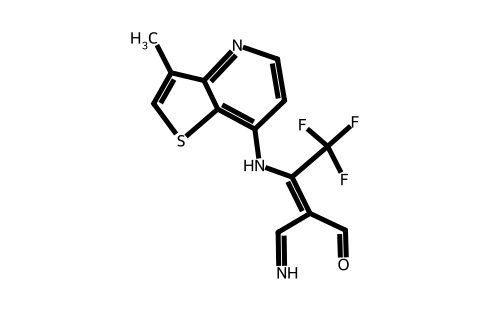 Cc1csc2c(N/C(=C(\C=N)C=O)C(F)(F)F)ccnc12